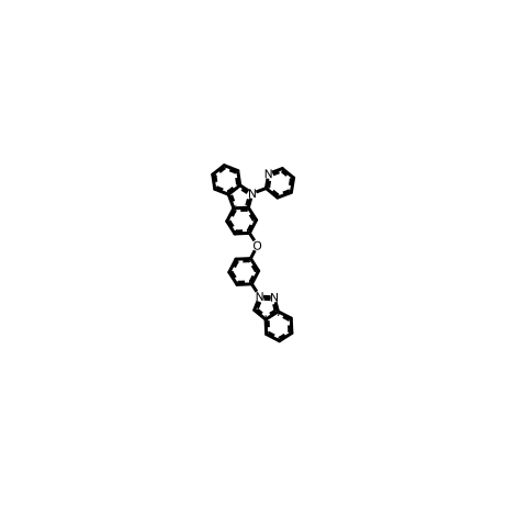 c1ccc(-n2c3ccccc3c3ccc(Oc4cccc(-n5cc6ccccc6n5)c4)cc32)nc1